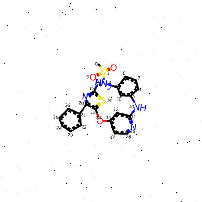 CS(=O)(=O)Nc1cccc(Nc2cc(Oc3sc(N)nc3-c3ccccc3)ccn2)c1